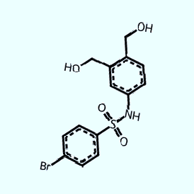 O=S(=O)(Nc1ccc(CO)c(CO)c1)c1ccc(Br)cc1